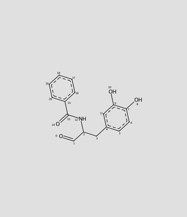 O=CC(Cc1ccc(O)c(O)c1)NC(=O)c1ccccc1